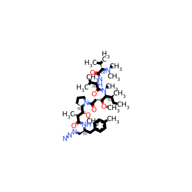 CC[C@H](C)[C@@H]([C@@H](CC(=O)N1CCC[C@H]1[C@H](OC)[C@@H](C)C(=O)N[C@H](CN=[N+]=[N-])Cc1ccc(C)cc1)OC)N(C)C(=O)[C@@H](NC(=O)[C@H](C(C)C)N(C)C)C(C)C